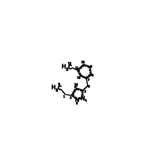 CCc1nnc(Cc2cccc(C)c2)s1